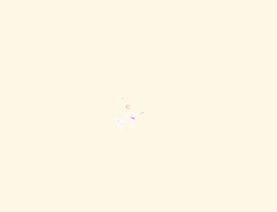 CC(C)CN1CC2CCC(C1)N2S(=O)(=O)Cc1ccccc1C(F)(F)F